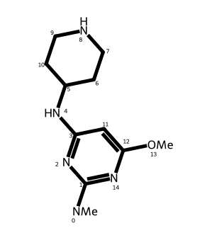 CNc1nc(NC2CCNCC2)cc(OC)n1